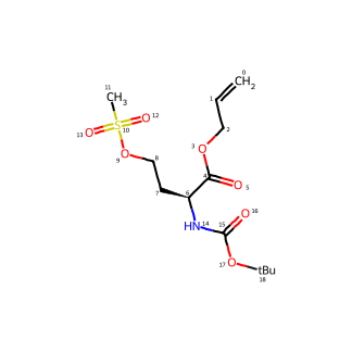 C=CCOC(=O)[C@H](CCOS(C)(=O)=O)NC(=O)OC(C)(C)C